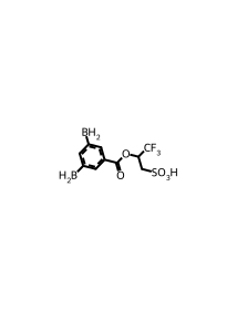 Bc1cc(B)cc(C(=O)OC(CS(=O)(=O)O)C(F)(F)F)c1